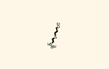 CCOCCCSCCNC(C)(C)C